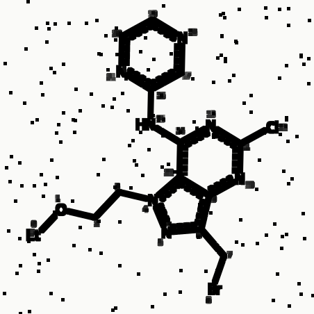 CCOCCn1nc(CBr)c2nc(Cl)nc(Nc3cnccn3)c21